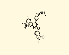 CNc1cc(F)cc2c1[nH]c1nc(Oc3cnc4c(c3)C(=O)NC4)nc(N3CC4C[C@@H](N)C4C3)c12